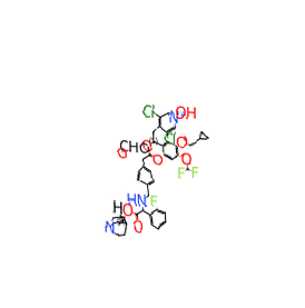 O=C(Cc1ccc(CNC(C(=O)O[C@H]2CN3CCC2CC3)c2ccccc2F)cc1)O[C@@H](Cc1c(Cl)c[n+](O)cc1Cl)c1ccc(OC(F)F)c(OCC2CC2)c1.O=C[O-]